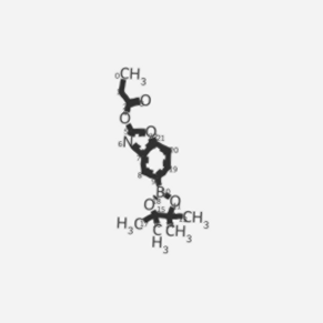 CCC(=O)Oc1nc2cc(B3OC(C)(C)C(C)(C)O3)ccc2o1